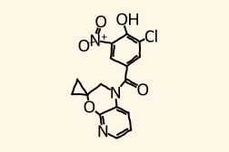 O=C(c1cc(Cl)c(O)c([N+](=O)[O-])c1)N1CC2(CC2)Oc2ncccc21